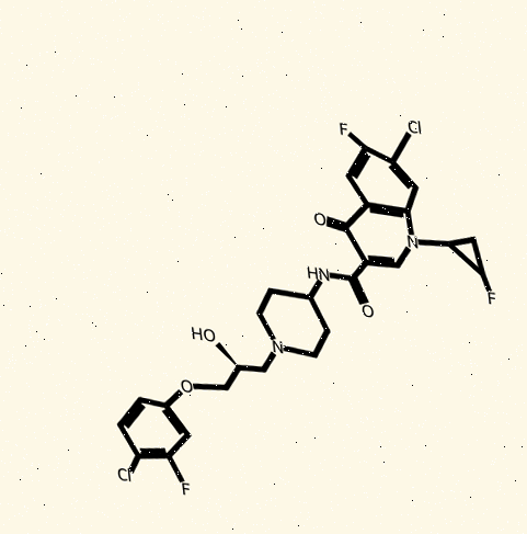 O=C(NC1CCN(C[C@H](O)COc2ccc(Cl)c(F)c2)CC1)c1cn(C2CC2F)c2cc(Cl)c(F)cc2c1=O